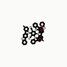 Cc1ccc2c(c1)c1cc3oc4ccccc4c3cc1n2-c1c(C#N)c(-n2c3ccccc3c3ccccc32)c(-n2c3ccc(C)cc3c3cc4oc5ccccc5c4cc32)c(-n2c3ccccc3c3ccccc32)c1C#N